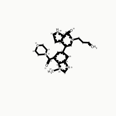 C=CCCn1cc(-c2cc(C(=O)N3CCOCC3)c3c(c2)ncn3C)c2cc[nH]c2c1=O